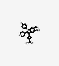 O=C(O)C1=CC(c2c(C3CCOCC3)n(-c3ccc(F)cc3)c3cc4cn[nH]c4cc23)C1